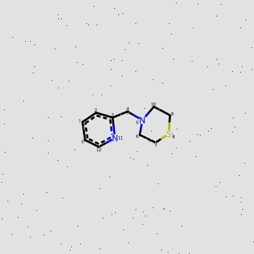 c1ccc(CN2CCSCC2)nc1